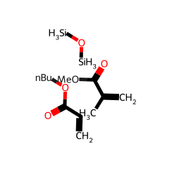 C=C(C)C(=O)OC.C=CC(=O)OCCCC.[SiH3]O[SiH3]